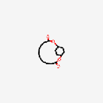 O=C1CCCCCCCCC(=O)OC2CCC(CC2)O1